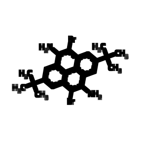 CC(C)(C)c1cc2c(N)c(Br)c3cc(C(C)(C)C)cc4c(N)c(Br)c(c1)c2c43